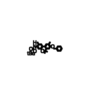 Cc1cc2c(cc1NC(=O)OC(C)(C)C)OC(C)(C)c1cc(OCc3ccccc3)c(C)cc1-2